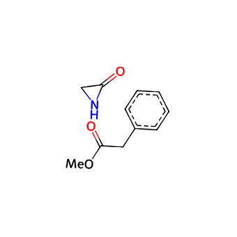 COC(=O)Cc1ccccc1.O=C1CN1